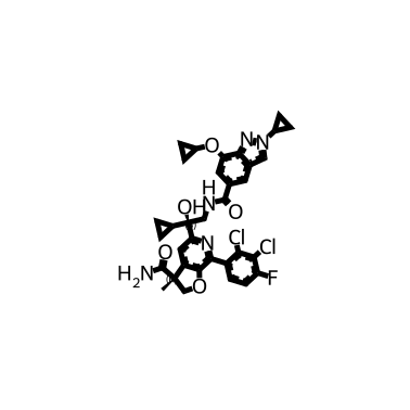 C[C@]1(C(N)=O)COc2c1cc([C@@](O)(CNC(=O)c1cc(OC3CC3)c3nn(C4CC4)cc3c1)C1CC1)nc2-c1ccc(F)c(Cl)c1Cl